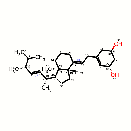 CC(C)[C@@H](C)/C=C/[C@@H](C)[C@H]1CC[C@H]2/C(=C/CC3=C[C@@H](O)C[C@H](O)C3)CCC[C@]12C